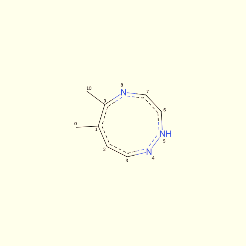 Cc1ccn[nH]ccnc1C